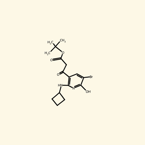 CC(C)(C)OC(=O)CC(=O)c1cc(Br)c(O)nc1NC1CCC1